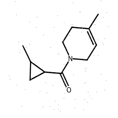 CC1=CCN(C(=O)C2CC2C)CC1